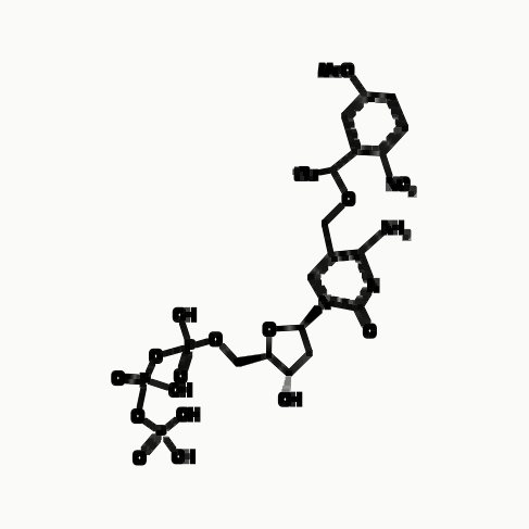 COc1ccc([N+](=O)[O-])c(C(OCc2cn([C@H]3C[C@H](O)[C@@H](COP(=O)(O)OP(=O)(O)OP(=O)(O)O)O3)c(=O)nc2N)C(C)(C)C)c1